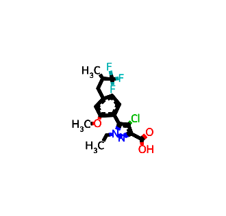 CCn1nc(C(=O)O)c(Cl)c1-c1ccc(CC(C)C(F)(F)F)cc1OC